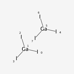 [I][Ga]([I])[I].[I][Ga]([I])[I]